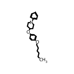 CCCCCCOc1ccc(OC2CCN(c3cc[c]cc3)CC2)cc1